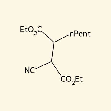 CCCCCC(C(=O)OCC)C(C#N)C(=O)OCC